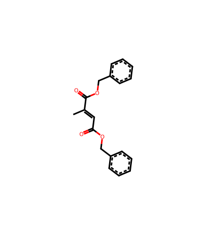 C/C(=C\C(=O)OCc1ccccc1)C(=O)OCc1ccccc1